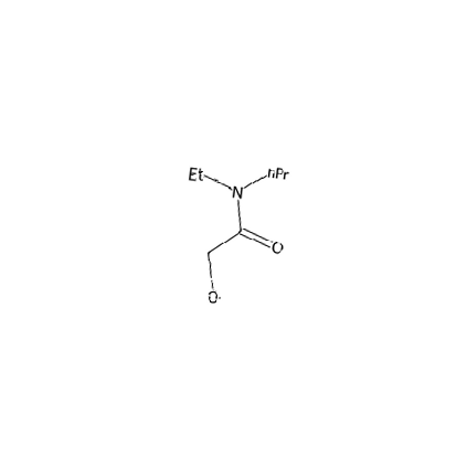 CCCN(CC)C(=O)C[O]